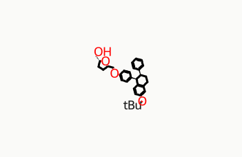 CC(C)(C)Oc1ccc2c(c1)CC[C@H](c1ccccc1)[C@@H]2c1ccc(OCC2CC[C@H](CO)O2)cc1